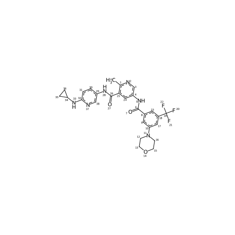 Cc1ncc(NC(=O)c2cc(N3CCOCC3)cc(C(F)(F)F)c2)cc1C(=O)Nc1ccc(NC2CC2)nc1